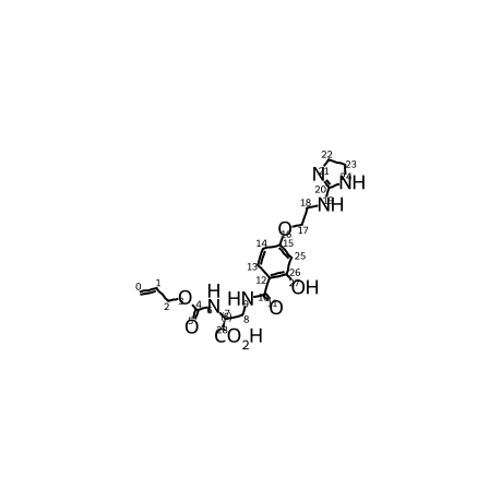 C=CCOC(=O)N[C@@H](CNC(=O)c1ccc(OCCNC2=NCCN2)cc1O)C(=O)O